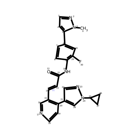 Cn1nccc1-c1ccc(NC(=O)/C=C/c2cnccc2-c2cnn(C3CC3)c2)c(F)c1